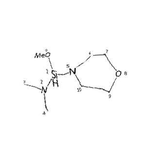 CO[SiH](N(C)C)N1CCOCC1